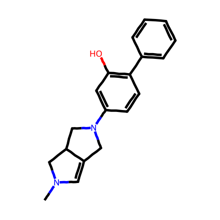 CN1C=C2CN(c3ccc(-c4ccccc4)c(O)c3)CC2C1